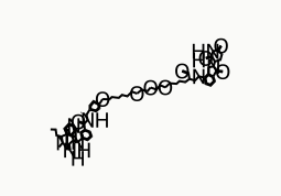 CCCC(c1ccncn1)N(C)C(=N)CNc1cccc(C(=O)N[C@H](C)c2ccc(OCCCCCCOCCOCCOCCCCC(C=O)CNc3cccc4c3CN(C3CCC(=O)NC3=O)C4=O)cc2)c1